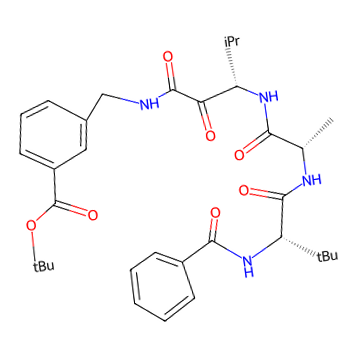 CC(C)[C@H](NC(=O)[C@H](C)NC(=O)[C@@H](NC(=O)c1ccccc1)C(C)(C)C)C(=O)C(=O)NCc1cccc(C(=O)OC(C)(C)C)c1